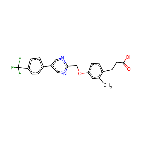 Cc1cc(OCc2ncc(-c3ccc(C(F)(F)F)cc3)cn2)ccc1CCC(=O)O